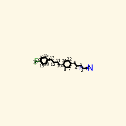 N#C/C=C/CC[C@H]1CC[C@H](CCCCc2ccc(F)cc2)CC1